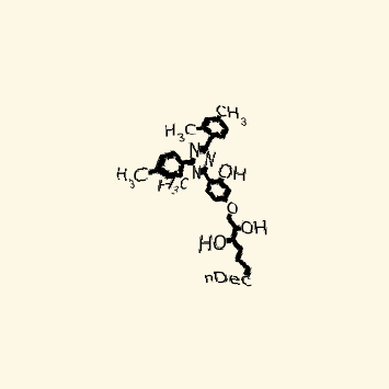 CCCCCCCCCCCCCC(O)C(O)COc1ccc(-c2nc(-c3ccc(C)cc3C)nc(-c3ccc(C)cc3C)n2)c(O)c1